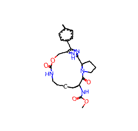 COC(=O)NC1CCCCNC(=O)OCc2[nH]c(nc2-c2ccc(C)cc2)C2CCCN2C1=O